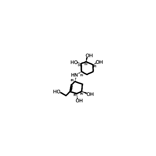 OCC1=C[C@H](N[C@H]2CC[C@@H](O)[C@H](O)[C@H]2O)C[C@@H](O)[C@@H]1O